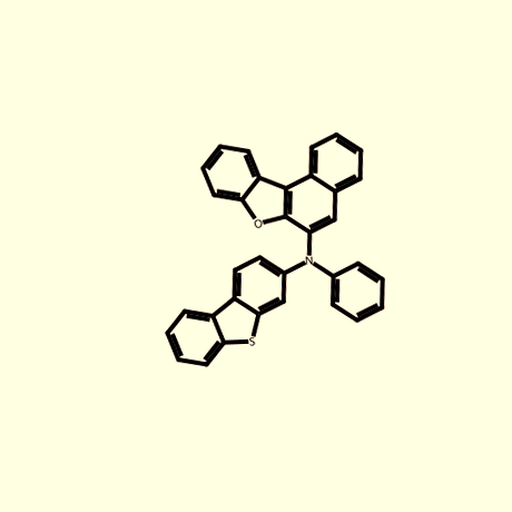 c1ccc(N(c2ccc3c(c2)sc2ccccc23)c2cc3ccccc3c3c2oc2ccccc23)cc1